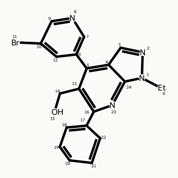 CCn1ncc2c(-c3cncc(Br)c3)c(CO)c(-c3ccccc3)nc21